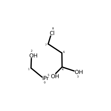 CC(C)CO.OC(O)CCCl